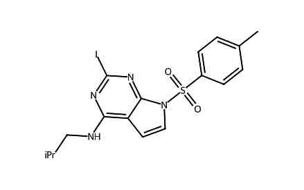 Cc1ccc(S(=O)(=O)n2ccc3c(NCC(C)C)nc(I)nc32)cc1